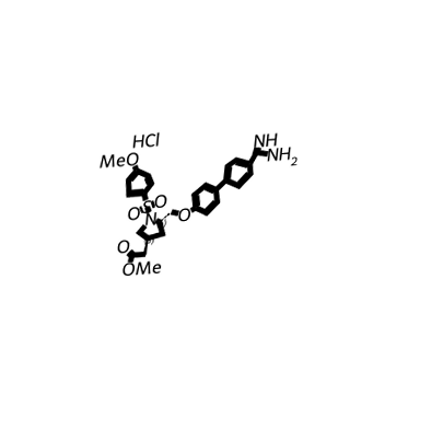 COC(=O)C[C@@H]1C[C@@H](COc2ccc(-c3ccc(C(=N)N)cc3)cc2)N(S(=O)(=O)c2ccc(OC)cc2)C1.Cl